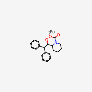 CC(C)(C)OC(=O)N1CCCCC1C(=O)C(c1ccccc1)c1ccccc1